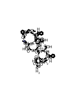 C/C=C1\CC(=O)[C@H](Cc2ccccc2)NC(=O)[C@@H]2CCCN2C(=O)[C@H](C(C)C)NC(=O)[C@H](Cc2c[nH]c3ccccc23)NC(=O)C23CSCC(NC1=O)C(=O)N[C@H](C(=O)O)CSSC[C@@H](CC(=O)C1CSCC4(CC(N)C(=O)N[C@@H](CC(N)=O)C(=O)N[C@@H](C)C(=O)N4)C(=O)N[C@@H](C(C)C)C(=O)N[C@@H](Cc4c[nH]c5ccccc45)C(=O)N[C@@H](CCC(=O)O)C(=O)N1)C(=O)NC(C2)C(=O)N[C@@H]([C@@H](C)O)C(=O)NCC(=O)N3